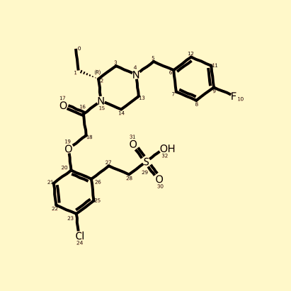 CC[C@@H]1CN(Cc2ccc(F)cc2)CCN1C(=O)COc1ccc(Cl)cc1CCS(=O)(=O)O